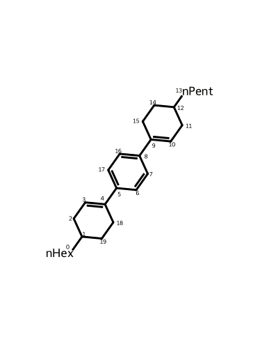 CCCCCCC1CC=C(c2ccc(C3=CCC(CCCCC)CC3)cc2)CC1